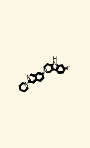 Fc1ccc2c3c([nH]c2c1)CCN(c1ccc2cc(N4CCCCC4)ncc2c1)C3